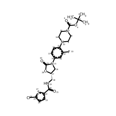 CC(C)(C)OC(=O)N1CCN(c2ccc(N3C[C@H](CNC(=O)c4ccc(Cl)s4)OC3=O)cc2F)CC1